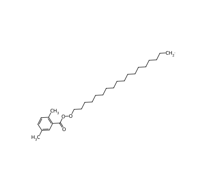 [CH2]CCCCCCCCCCCCCCCCCOOC(=O)c1cc(C)ccc1C